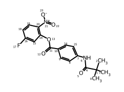 CC(C)(C)C(=O)Nc1ccc(C(=O)Oc2cc(F)ccc2[N+](=O)[O-])cc1